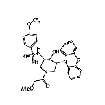 COCC(=O)N1CC(NS(=N)(=O)c2ccc(OC(F)(F)F)cc2)C(O)C(N2c3ccccc3Oc3ccccc32)C1